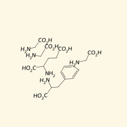 NC(CCC(=O)O)C(=O)O.NC(Cc1ccccc1)C(=O)O.NCC(=O)O.NCC(=O)O.NCC(=O)O